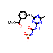 COC(=O)c1ccccc1.COc1nc(C)nc(NC(=O)N=S(=O)=O)n1